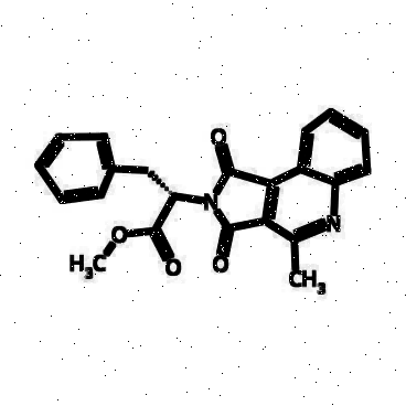 COC(=O)[C@H](Cc1ccccc1)N1C(=O)c2c(C)nc3ccccc3c2C1=O